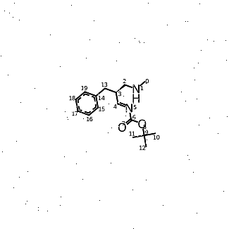 CNC[C@@H](/C=N/C(=O)OC(C)(C)C)Cc1ccccc1